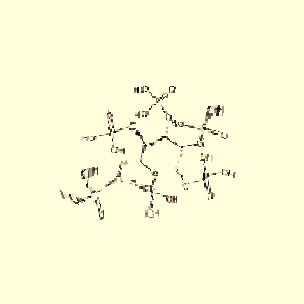 O=P(O)(O)OC[C@@H](OP(=O)(O)O)[C@@H](OP(=O)(O)O)[C@H](OP(=O)(O)O)[C@@H](COP(=O)(O)O)OP(=O)(O)O